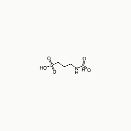 O=[SH](=O)NCCCS(=O)(=O)O